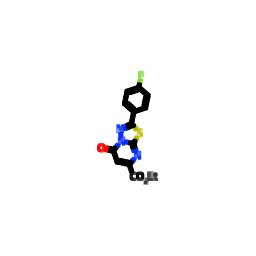 CCOC(=O)c1cc(=O)n2nc(-c3ccc(F)cc3)sc2n1